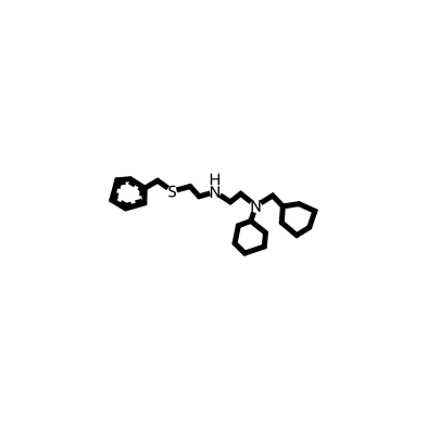 c1ccc(CSCCNCCN(CC2CCCCC2)C2CCCCC2)cc1